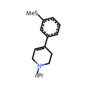 CCCN1CC=C(c2cccc(SC)c2)CC1